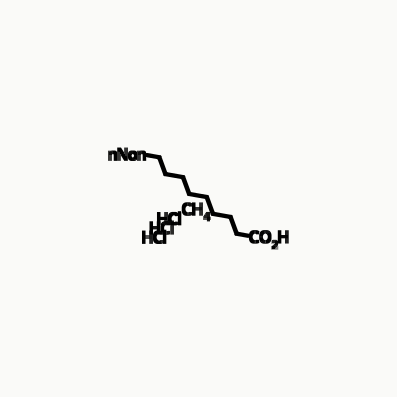 C.CCCCCCCCCCCCCCCCCC(=O)O.Cl.Cl.Cl